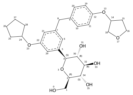 OC[C@H]1O[C@@H](c2cc(Cc3ccc(OC4CCOC4)cc3)cc(OC3CCCC3)c2)[C@H](O)[C@@H](O)[C@@H]1O